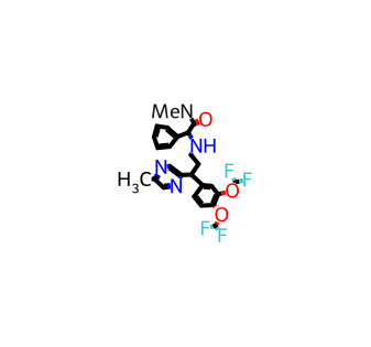 CNC(=O)C(NCCC(c1ccc(OC(F)F)c(OC(F)F)c1)c1cnc(C)cn1)c1ccccc1